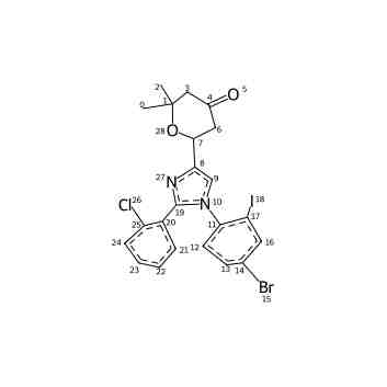 CC1(C)CC(=O)CC(c2cn(-c3ccc(Br)cc3I)c(-c3ccccc3Cl)n2)O1